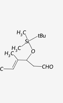 CC=C(C)C(CC=O)O[Si](C)(C)C(C)(C)C